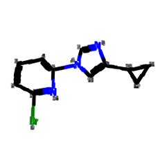 Brc1cccc(-n2cnc(C3CC3)c2)n1